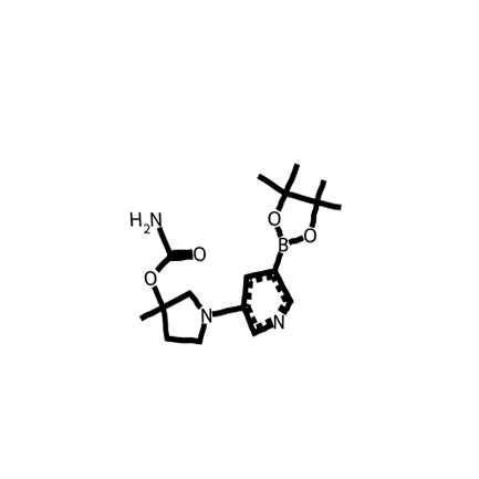 CC1(OC(N)=O)CCN(c2cncc(B3OC(C)(C)C(C)(C)O3)c2)C1